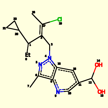 CCC(/C(Cn1nc(C)c2ncc(C(O)O)cc21)=C(\C)Cl)C1CC1